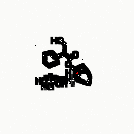 CCCN.CN1C2CCC1CC(OC(=O)C(CO)c1ccccc1)C2.Cl.O=S(=O)(O)O